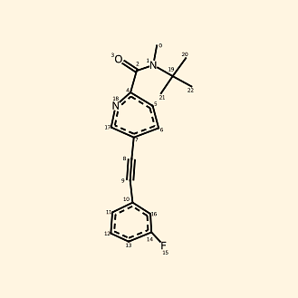 CN(C(=O)c1ccc(C#Cc2cccc(F)c2)cn1)C(C)(C)C